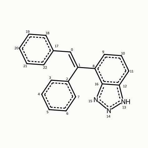 C(=C(c1ccccc1)c1cccc2[nH]nnc12)c1ccccc1